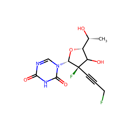 C[C@@H](O)[C@H]1O[C@@H](n2cnc(=O)[nH]c2=O)[C@@](F)(C#CCF)C1O